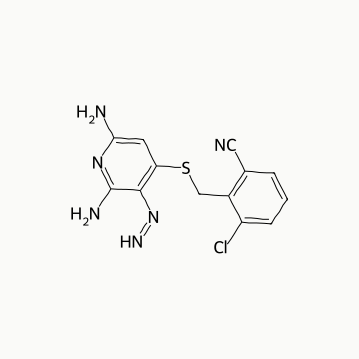 N#Cc1cccc(Cl)c1CSc1cc(N)nc(N)c1N=N